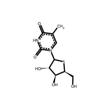 Cc1cn(C2S[C@@H](CO)[C@@H](O)[C@@H]2O)c(=O)[nH]c1=O